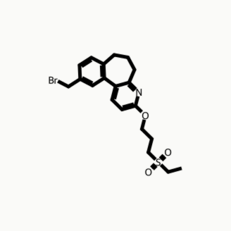 CCS(=O)(=O)CCCOc1ccc2c(n1)CCCc1ccc(CBr)cc1-2